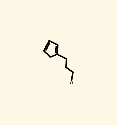 ClCCCC1=CC=CC1